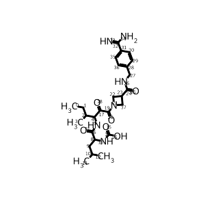 CCC(C)C(NC(=O)C(CC(C)C)NC(=O)O)C(=O)C(=O)N1CC(C(=O)NCc2ccc(C(=N)N)cc2)C1